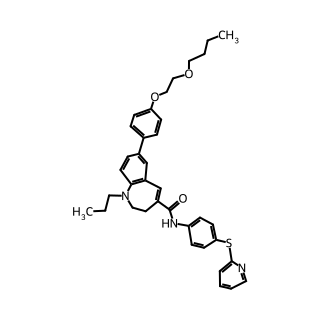 CCCCOCCOc1ccc(-c2ccc3c(c2)C=C(C(=O)Nc2ccc(Sc4ccccn4)cc2)CCN3CCC)cc1